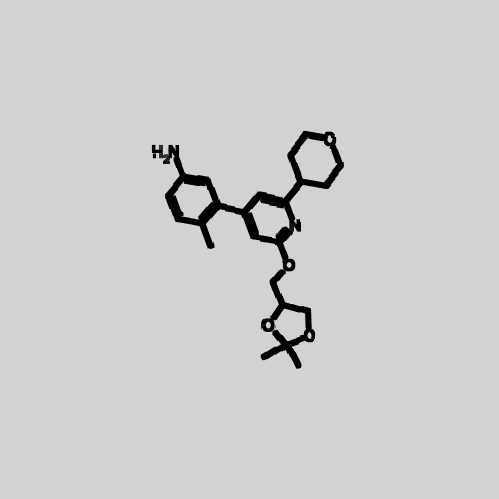 Cc1ccc(N)cc1-c1cc(OCC2COC(C)(C)O2)nc(C2CCOCC2)c1